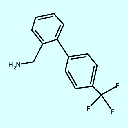 NCc1ccccc1-c1ccc(C(F)(F)F)cc1